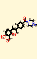 CC1=C(c2ccc(C(=O)N3CCN(C)CC3)cc2)COc2c1ccc(O)c2C=O